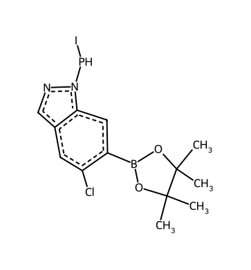 CC1(C)OB(c2cc3c(cnn3PI)cc2Cl)OC1(C)C